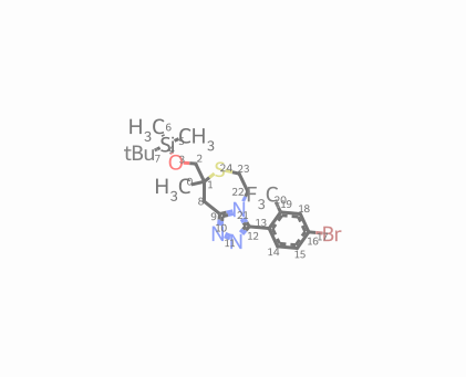 CC1(CO[Si](C)(C)C(C)(C)C)Cc2nnc(-c3ccc(Br)cc3C(F)(F)F)n2CCS1